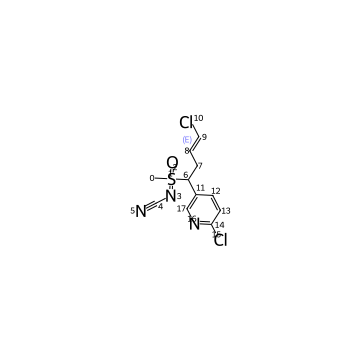 CS(=O)(=NC#N)C(C/C=C/Cl)c1ccc(Cl)nc1